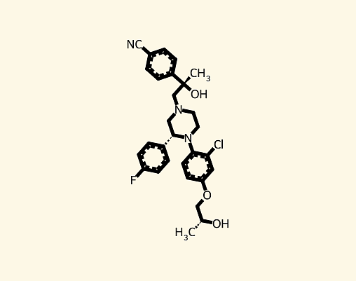 C[C@@H](O)COc1ccc(N2CCN(C[C@@](C)(O)c3ccc(C#N)cc3)C[C@H]2c2ccc(F)cc2)c(Cl)c1